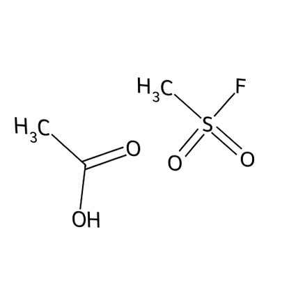 CC(=O)O.CS(=O)(=O)F